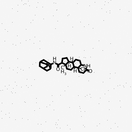 C[C@]12CCC(=O)NC1CC[C@@H]1[C@H]2CC[C@]2(C)C(C(=O)NC3C4CC5CC(C4)CC3C5)CC[C@@H]12